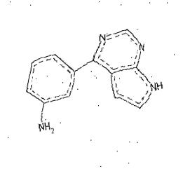 Nc1cccc(-c2ncnc3[nH]ccc23)c1